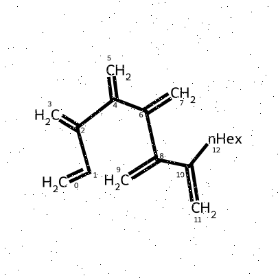 C=CC(=C)C(=C)C(=C)C(=C)C(=C)CCCCCC